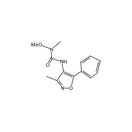 CON(C)C(=O)Nc1c(C)noc1-c1ccccc1